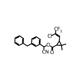 CC1(C)C(C=C(Cl)C(F)(F)F)C1C(=O)OC(C#N)c1cccc(Cc2ccccc2)c1